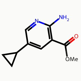 COC(=O)c1cc(C2CC2)cnc1N